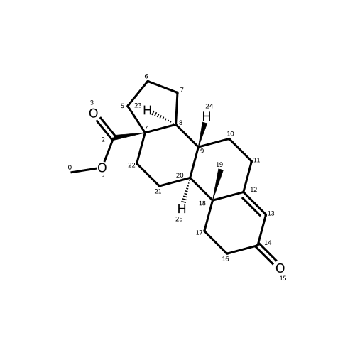 COC(=O)[C@@]12CCC[C@H]1[C@@H]1CCC3=CC(=O)CC[C@]3(C)[C@H]1CC2